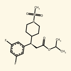 CC(C)OC(=O)C[C@@H](c1cc(F)cc(F)c1)C1CCN(S(C)(=O)=O)CC1